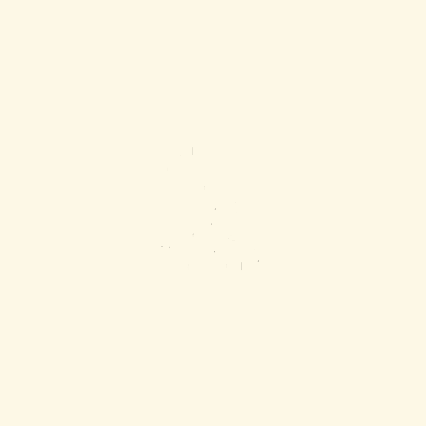 COc1ccc2c(c1)OCC2(C)C(=O)O